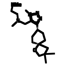 CNCCN(C)Cc1c([C@H]2CC[C@]3(CC2)CC(C)(C)CO3)nnn1C